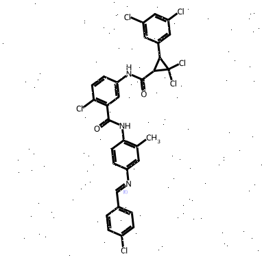 Cc1cc(/N=C/c2ccc(Cl)cc2)ccc1NC(=O)c1cc(NC(=O)C2C(c3cc(Cl)cc(Cl)c3)C2(Cl)Cl)ccc1Cl